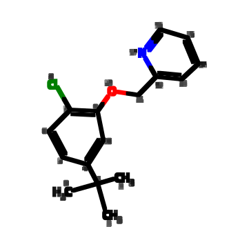 CC(C)(C)c1ccc(Cl)c(OCc2ccccn2)c1